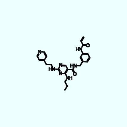 C=CC(=O)Nc1cccc(CNC(=O)c2cnc(NCCc3ccncc3)nc2NCCC)c1